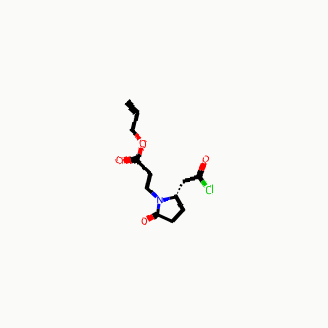 C=CCOC(=O)CCN1C(=O)CC[C@H]1CC(=O)Cl